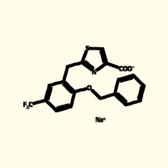 O=C([O-])c1csc(Cc2cc(C(F)(F)F)ccc2OCc2ccccc2)n1.[Na+]